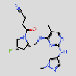 Cc1cnc(Nc2cnn(C)c2)nc1NC[C@@H]1C[C@H](F)CN1C(=O)CCC#N